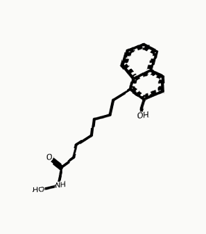 O=C(CCCCCCc1c(O)ccc2ccccc12)NO